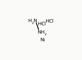 Cl.Cl.NN.[Ni]